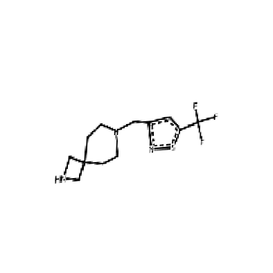 FC(F)(F)c1cc(CN2CCC3(CC2)CNC3)ns1